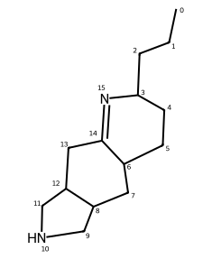 CCCC1CCC2CC3CNCC3CC2=N1